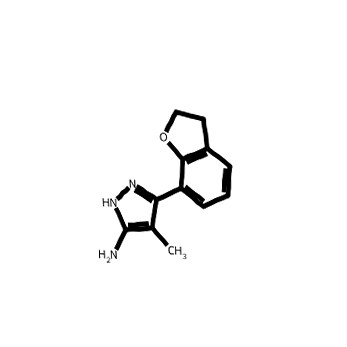 Cc1c(-c2cccc3c2OCC3)n[nH]c1N